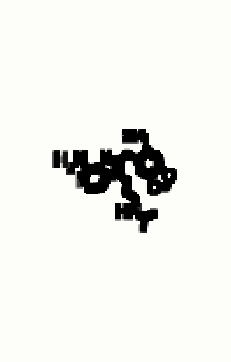 CC(C)NCCCn1c(Cc2cc3c(cc2[124I])OCO3)nc2c(N)nccc21